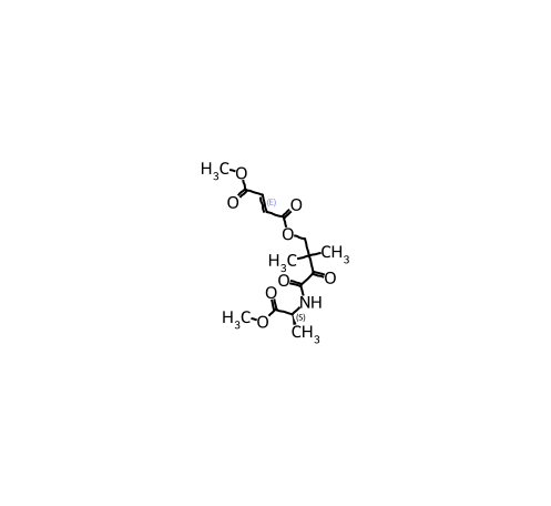 COC(=O)/C=C/C(=O)OCC(C)(C)C(=O)C(=O)N[C@@H](C)C(=O)OC